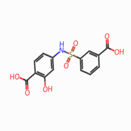 O=C(O)c1cccc(S(=O)(=O)Nc2ccc(C(=O)O)c(O)c2)c1